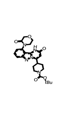 CC(C)(C)OC(=O)N1CCC(c2cc(=O)[nH]c3c4c(N5CCOCC5=O)cccc4nn23)CC1